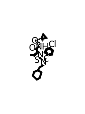 Cc1sc(N(CCC2CCCCC2)Cc2ccc(Cl)cc2)nc1C(=O)N[S+]([O-])C1CC1